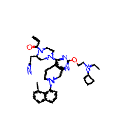 C=CC(=O)N1CCN(c2nc(OCCN(CC)C3CCC3)nc3c2CCN(c2cccc4cccc(C)c24)C3)CC1CC#N